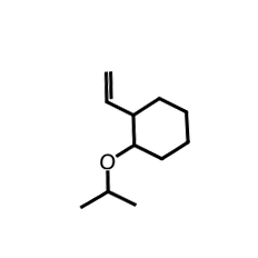 C=CC1CCCCC1OC(C)C